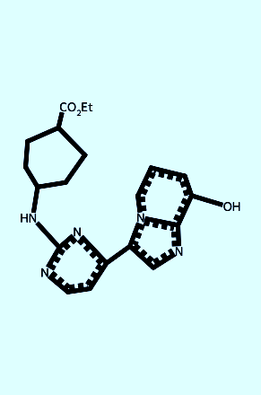 CCOC(=O)C1CCC(Nc2nccc(-c3cnc4c(O)cccn34)n2)CC1